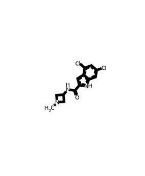 CN1CC(NC(=O)c2cc3c(Cl)cc(Cl)cc3[nH]2)C1